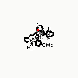 COc1cc(C)c(S(=O)(=O)N2CCC[C@H]2CCCS(=O)(=O)N2CC(N3[C@@H]4CC[C@H]3CC(Oc3ccncc3)C4)C2)c(C)c1